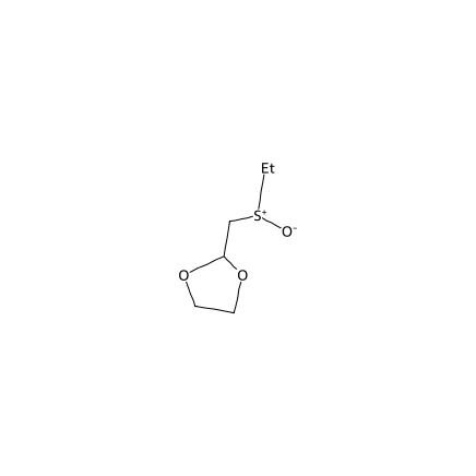 CC[S+]([O-])CC1OCCO1